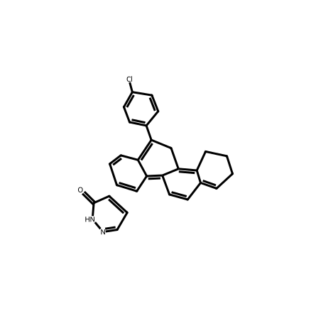 Clc1ccc(C2=c3ccccc3=c3ccc4c(c3C2)CCCC=4)cc1.O=c1cccn[nH]1